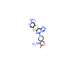 C[C@@H]1OCC2(CCN(c3ncc(Sc4cc(N)ncc4Cl)c4nncn34)CC2)[C@@H]1N